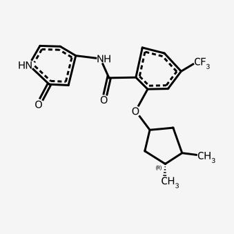 CC1CC(Oc2cc(C(F)(F)F)ccc2C(=O)Nc2cc[nH]c(=O)c2)C[C@H]1C